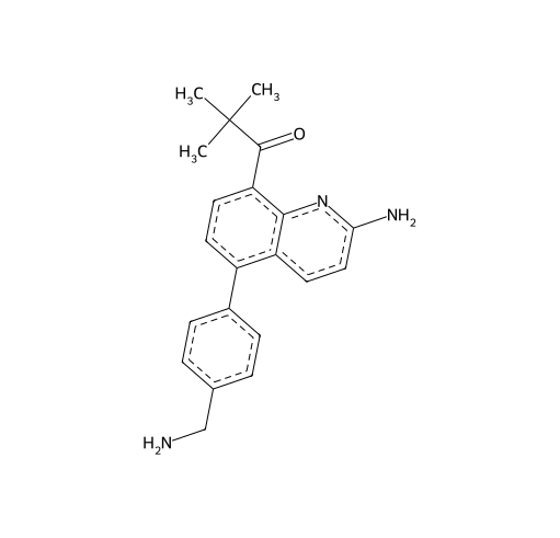 CC(C)(C)C(=O)c1ccc(-c2ccc(CN)cc2)c2ccc(N)nc12